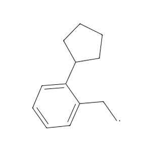 [CH2]Cc1ccccc1C1CCCC1